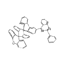 c1ccc(-c2nc(-c3ccc4c(c3)-c3ccccc3C43c4ccccc4C4(c5ccccc5Oc5ccccc54)c4ccccc43)c3ccccc3n2)cc1